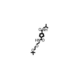 CC(C)CNC(=O)c1ccc(C(=O)NCCOCCOC(C)(C)C)cc1